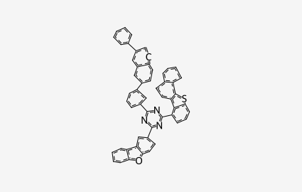 c1ccc(-c2ccc3ccc(-c4cccc(-c5nc(-c6ccc7oc8ccccc8c7c6)nc(-c6cccc7sc8c9ccccc9ccc8c67)n5)c4)cc3c2)cc1